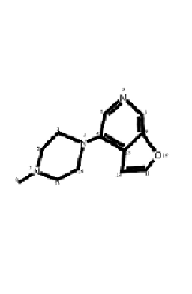 CN1CCN(c2cncc3occc23)CC1